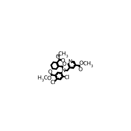 COC(=O)C1=C(C(=O)N(Cc2cncc(C(=O)OC)c2)c2cc(C(=O)OC)c(Cl)cc2Cl)CCCC1